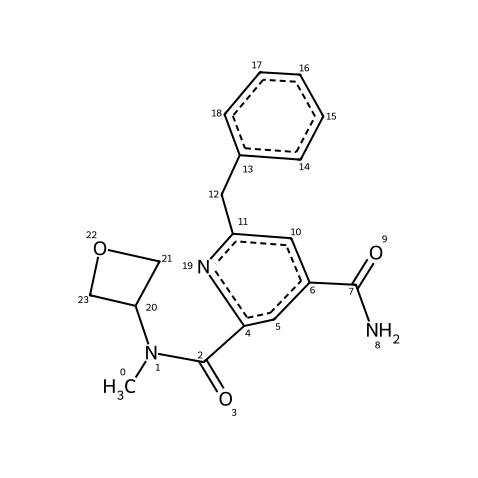 CN(C(=O)c1cc(C(N)=O)cc(Cc2ccccc2)n1)C1COC1